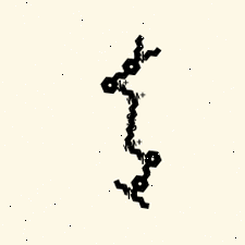 CCCCN(CCCC)c1ccc(/C=C/c2cccc[n+]2CCC[N+](C)(C)CCCSSCCC[N+](C)(C)CCC[n+]2ccccc2/C=C/c2ccc(N(CCCC)CCCC)cc2)cc1